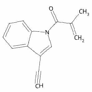 C#Cc1cn(C(=O)C(=C)C)c2ccccc12